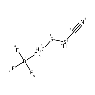 CS[SH+]C#N.F[B-](F)(F)F